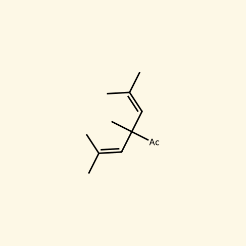 CC(=O)C(C)(C=C(C)C)C=C(C)C